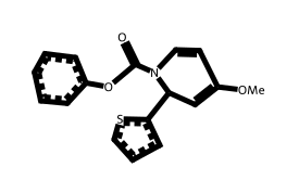 COC1=CC(c2cccs2)N(C(=O)Oc2ccccc2)C=C1